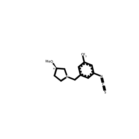 CO[C@@H]1CCN(Cc2cc(N=C=S)cc(C(F)(F)F)c2)C1